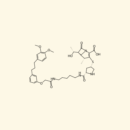 COc1ccc(CCCc2cccc(OCC(=O)NCCCCCNC(=O)[C@@H]3C[C@H](SC4=C(C(=O)O)N5C(=O)[C@H]([C@@H](C)O)C5[C@H]4C)CN3)c2)cc1OC